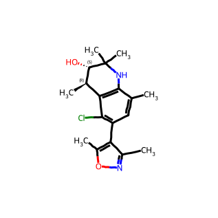 Cc1cc(-c2c(C)noc2C)c(Cl)c2c1NC(C)(C)[C@@H](O)[C@@H]2C